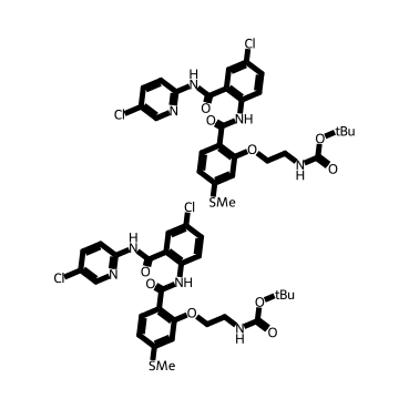 CSc1ccc(C(=O)Nc2ccc(Cl)cc2C(=O)Nc2ccc(Cl)cn2)c(OCCNC(=O)OC(C)(C)C)c1.CSc1ccc(C(=O)Nc2ccc(Cl)cc2C(=O)Nc2ccc(Cl)cn2)c(OCCNC(=O)OC(C)(C)C)c1